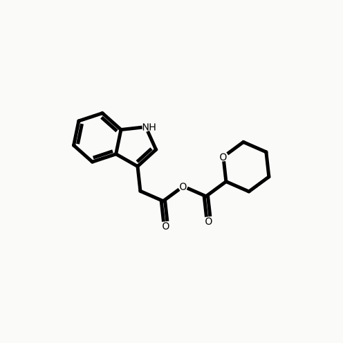 O=C(Cc1c[nH]c2ccccc12)OC(=O)C1CCCCO1